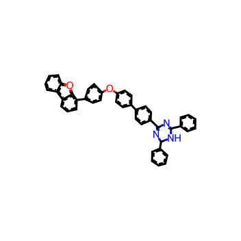 c1ccc(C2=NC(c3ccc(-c4ccc(Oc5ccc(-c6cccc7c6oc6ccccc67)cc5)cc4)cc3)=NC(c3ccccc3)N2)cc1